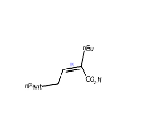 CCCCCC/C=C(/CCCC)C(=O)O